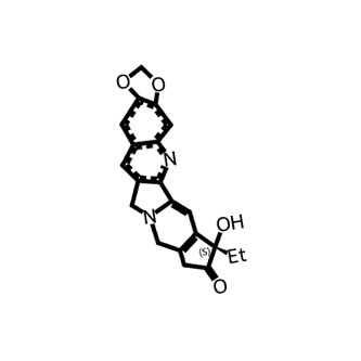 CC[C@@]1(O)C(=O)CC2=C1C=C1c3nc4cc5c(cc4cc3CN1C2)OCO5